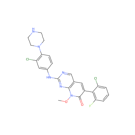 COn1c(=O)c(-c2c(F)cccc2Cl)cc2cnc(Nc3ccc(N4CCNCC4)c(Cl)c3)nc21